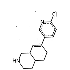 Clc1ccc(C2=CC3CNCCC3CC2)cn1